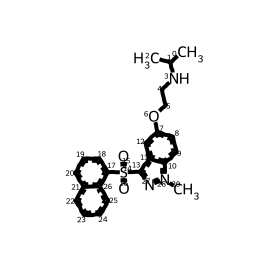 CC(C)NCCOc1ccc2c(c1)c(S(=O)(=O)c1cccc3ccccc13)nn2C